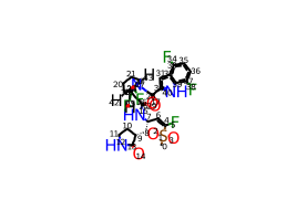 CS(=O)(=O)/C(F)=C\[C@H](C[C@H]1CCNC1=O)NC(=O)[C@@H]1[C@@H]2CC[C@@H](CC2(F)F)N1C(=O)c1cc2c(F)ccc(F)c2[nH]1